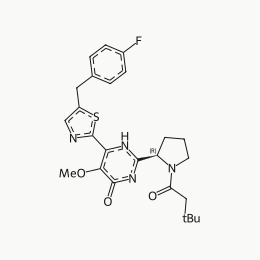 COc1c(-c2ncc(Cc3ccc(F)cc3)s2)[nH]c([C@H]2CCCN2C(=O)CC(C)(C)C)nc1=O